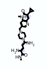 CNC(=O)/C(N)=C/C=C(\N)N1CCN(Cc2cnc(/C=C(\C=O)C3CC3)c(NC)c2)CC1